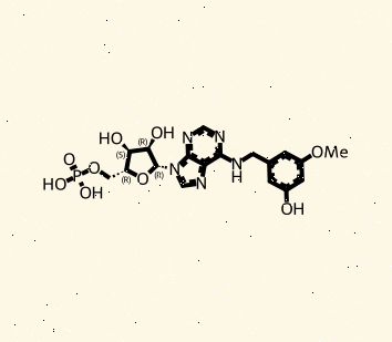 COc1cc(O)cc(CNc2ncnc3c2ncn3[C@@H]2O[C@H](COP(=O)(O)O)[C@@H](O)[C@H]2O)c1